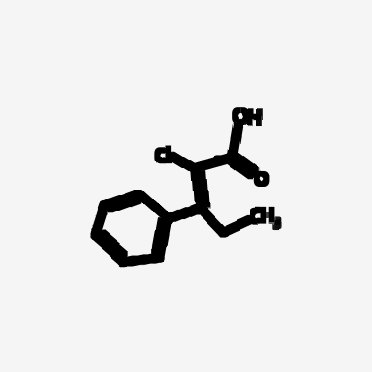 CCC(=C(Cl)C(=O)O)c1ccccc1